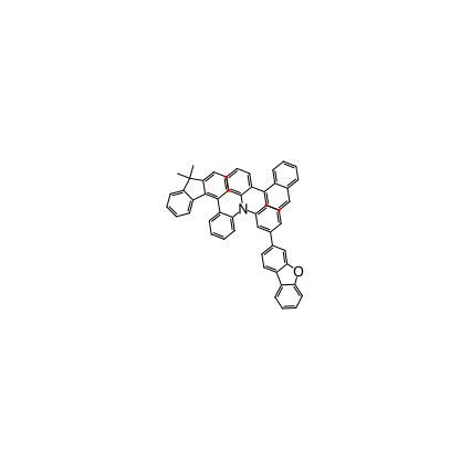 CC1(C)c2ccccc2-c2c(-c3ccccc3N(c3cccc(-c4ccc5c(c4)oc4ccccc45)c3)c3ccccc3-c3cccc4ccccc34)cccc21